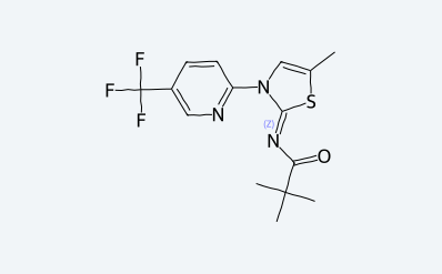 Cc1cn(-c2ccc(C(F)(F)F)cn2)/c(=N/C(=O)C(C)(C)C)s1